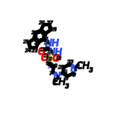 CN1CCC(N(C)C/C=C/S(=O)(=O)NC(=O)Nc2c3c(cc4c2CCC4)CCC3)CC1